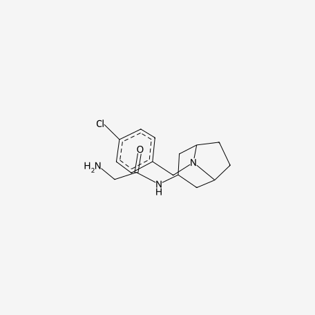 NCC(=O)NC1CC2CCC(C1)N2Cc1ccc(Cl)cc1